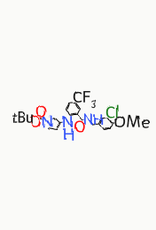 COc1ccc(CNC(=O)c2cc(C(F)(F)F)ccc2NC2CCN(C(=O)OC(C)(C)C)C2)cc1Cl